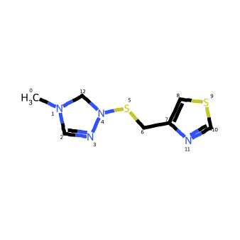 CN1C=NN(SCc2cs[c]n2)C1